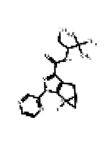 CC(C)(C)C(CO)NC(=O)c1nn(-c2cnccn2)c2c1CC1C[C@H]21